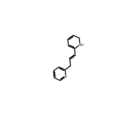 C1=CCNC(/C=C/Cc2ccccn2)=C1